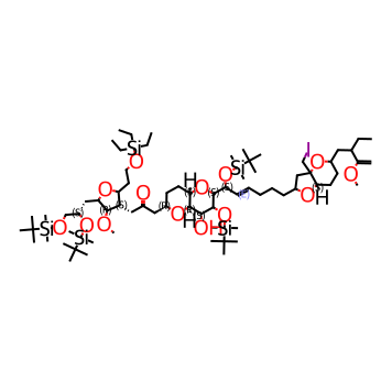 C=C(OC)C(CC)CC1CC[C@@H]2OC(CCC/C=C/[C@H](O[Si](C)(C)C(C)(C)C)[C@@H]3O[C@H]4CC[C@H](CC(=O)C[C@H]5C(CCO[Si](CC)(CC)CC)OC(C[C@@H](CO[Si](C)(C)C(C)(C)C)O[Si](C)(C)C(C)(C)C)[C@@H]5OC)O[C@@H]4[C@H](O)C3O[Si](C)(C)C(C)(C)C)CC2(CI)O1